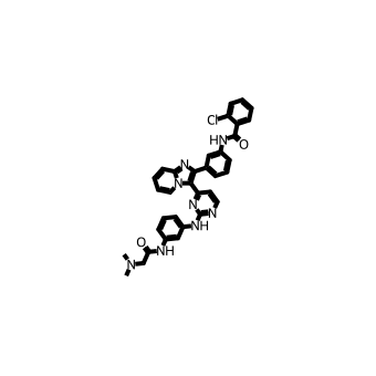 CN(C)CC(=O)Nc1cccc(Nc2nccc(-c3c(-c4cccc(NC(=O)c5ccccc5Cl)c4)nc4ccccn34)n2)c1